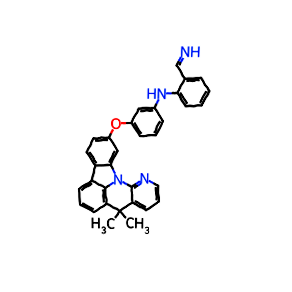 CC1(C)c2cccnc2-n2c3cc(Oc4cccc(Nc5ccccc5C=N)c4)ccc3c3cccc1c32